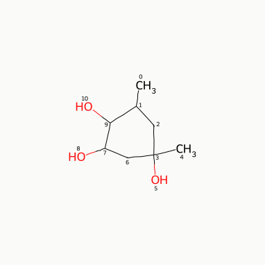 CC1CC(C)(O)CC(O)C1O